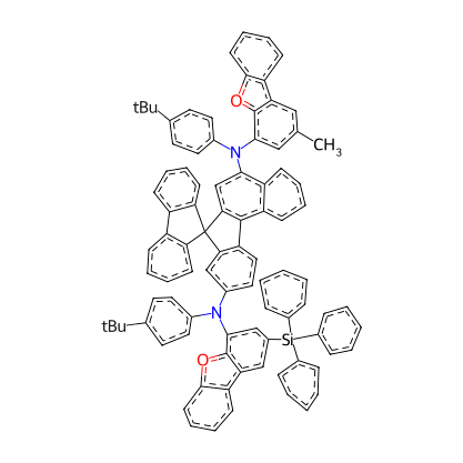 Cc1cc(N(c2ccc(C(C)(C)C)cc2)c2cc3c(c4ccccc24)-c2ccc(N(c4ccc(C(C)(C)C)cc4)c4cc([Si](c5ccccc5)(c5ccccc5)c5ccccc5)cc5c4oc4ccccc45)cc2C32c3ccccc3-c3ccccc32)c2oc3ccccc3c2c1